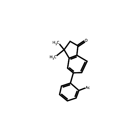 CC(=O)c1ccccc1-c1ccc2c(c1)C(C)(C)CC2=O